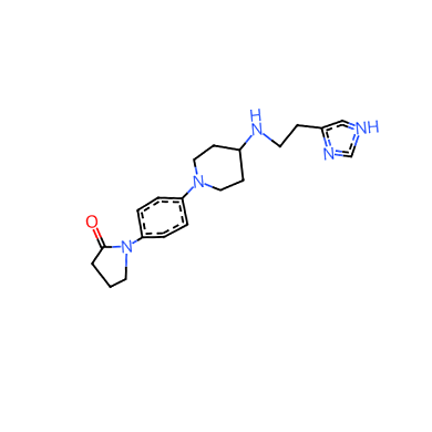 O=C1CCCN1c1ccc(N2CCC(NCCc3c[nH]cn3)CC2)cc1